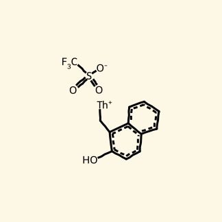 O=S(=O)([O-])C(F)(F)F.Oc1ccc2ccccc2c1[CH2][Th+]